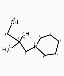 CC(C)(CO)CN1CCCCC1